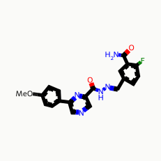 COc1ccc(-c2cncc(C(=O)N/N=C/c3ccc(F)c(C(N)=O)c3)n2)cc1